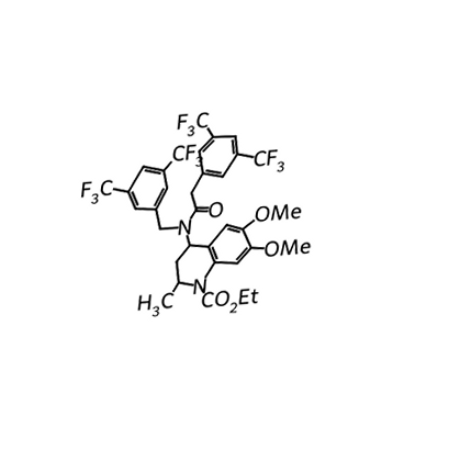 CCOC(=O)N1c2cc(OC)c(OC)cc2C(N(Cc2cc(C(F)(F)F)cc(C(F)(F)F)c2)C(=O)Cc2cc(C(F)(F)F)cc(C(F)(F)F)c2)CC1C